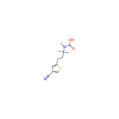 CN(C(=O)O)C(C)(C)CCc1cc(C#N)cs1